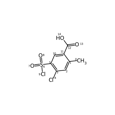 Cc1cc(Cl)c(S(=O)(=O)Cl)cc1C(=O)O